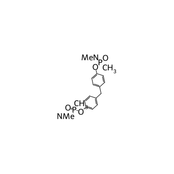 CNP(C)(=O)Oc1ccc(Cc2ccc(OP(C)(=O)NC)cc2)cc1